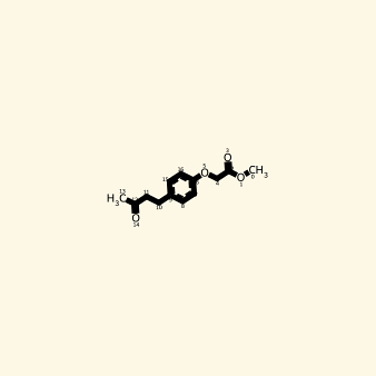 COC(=O)COc1ccc(CCC(C)=O)cc1